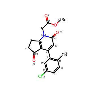 CC(C)(C)OC(=O)Cn1c2c(c(-c3cc(Cl)ccc3C#N)cc1=O)C(=O)CC2